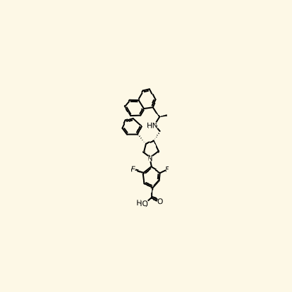 C[C@@H](NC[C@@H]1CN(c2c(F)cc(C(=O)O)cc2F)C[C@@H]1c1ccccc1)c1cccc2ccccc12